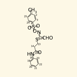 Cc1ccc(S(=O)(=O)O/N=C(/C=O)SCCC(=O)Nc2ccccc2)cc1